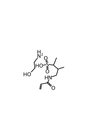 C=CC(=O)NCC(C)C(C)S(=O)(=O)O.NCCO